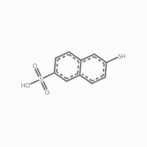 O=S(=O)(O)c1ccc2cc(S)ccc2c1